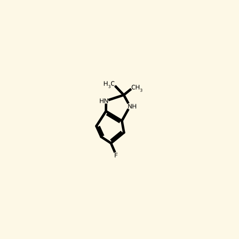 CC1(C)Nc2ccc(F)cc2N1